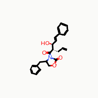 C=CC[C@H](C(=O)N1C(=O)OCC1Cc1ccccc1)[C@@H](O)C=Cc1ccccc1